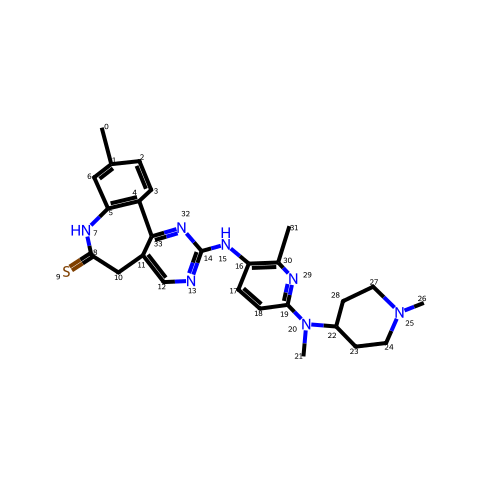 Cc1ccc2c(c1)NC(=S)Cc1cnc(Nc3ccc(N(C)C4CCN(C)CC4)nc3C)nc1-2